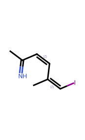 CC(=N)/C=C\C(C)=C/I